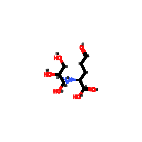 N[C@@H](CC[C]=O)C(=O)O.OCC(O)CO